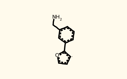 NCc1cccc(-c2[c]cco2)c1